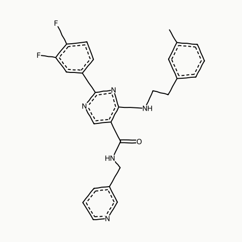 Cc1cccc(CCNc2nc(-c3ccc(F)c(F)c3)ncc2C(=O)NCc2cccnc2)c1